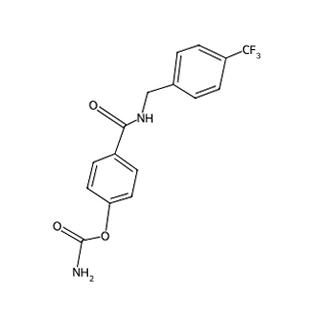 NC(=O)Oc1ccc(C(=O)NCc2ccc(C(F)(F)F)cc2)cc1